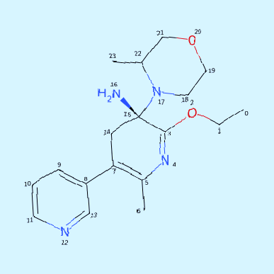 CCOC1=NC(C)=C(c2cccnc2)C[C@]1(N)N1CCOCC1C